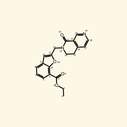 CCOC(=O)c1cccc2cc(CN3CCc4ccncc4C3=O)oc12